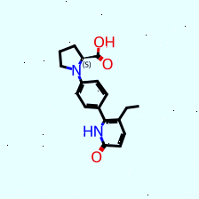 CCc1ccc(=O)[nH]c1-c1ccc(N2CCC[C@H]2C(=O)O)cc1